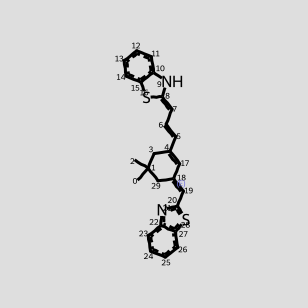 CC1(C)CC(C=CC=C2Nc3ccccc3S2)=C/C(=C/c2nc3ccccc3s2)C1